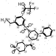 NCc1cccc(S(=O)(=O)N2C[C@@H](C(=O)N3CCS(=O)(=O)CC3)C[C@H](c3ccccc3)C2)c1.O=C(O)C(F)(F)F